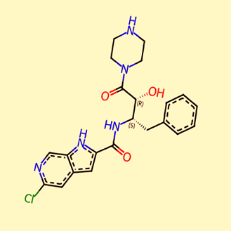 O=C(N[C@@H](Cc1ccccc1)[C@@H](O)C(=O)N1CCNCC1)c1cc2cc(Cl)ncc2[nH]1